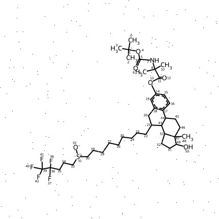 CC(C)(C)OC(=O)NC(C)(C)C(=O)Oc1ccc2c(c1)CC(CCCCCCCCC[S+]([O-])CCCC(F)(F)C(F)(F)F)C1C2CCC2(C)C(O)CCC12